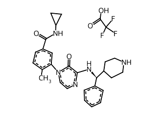 Cc1ccc(C(=O)NC2CC2)cc1-n1ccnc(N[C@H](c2ccccc2)C2CCNCC2)c1=O.O=C(O)C(F)(F)F